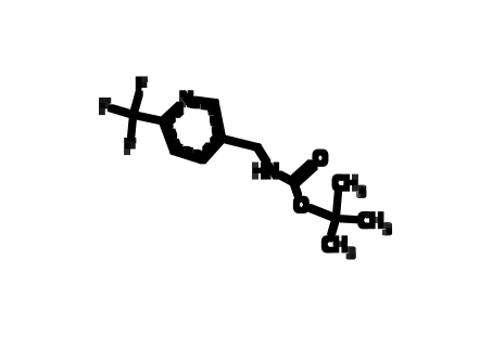 CC(C)(C)OC(=O)NCc1ccc(C(F)(F)F)nc1